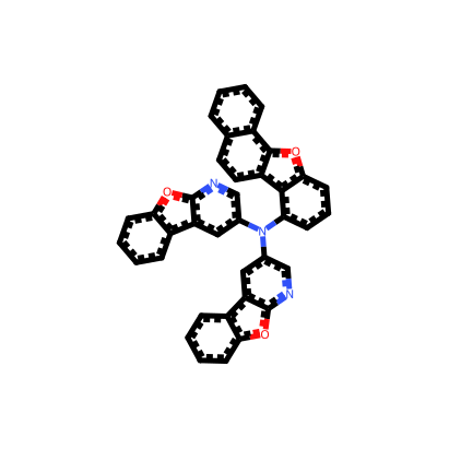 c1ccc2c(c1)ccc1c2oc2cccc(N(c3cnc4oc5ccccc5c4c3)c3cnc4oc5ccccc5c4c3)c21